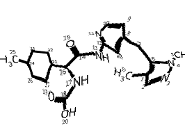 Cc1cnn(C)c1Cc1ccnc(NC(=O)[C@@H](NC(=O)O)C2CCC(C)CC2)c1